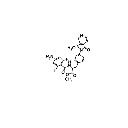 COC(=O)[C@H](Cc1ccc(-n2c(=O)c3ccncc3n2C)cc1)NC(=O)c1c(F)cc(N)cc1F